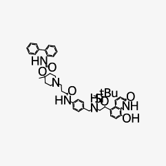 CC1(OC(=O)Nc2ccccc2-c2ccccc2)CCN(CCC(=O)Nc2ccc(CNCC(O[Si](C)(C)C(C)(C)C)c3ccc(O)c4[nH]c(=O)ccc34)cc2)CC1